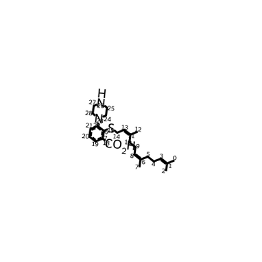 CC(C)=CCCC(C)=CCCC(C)=CCSc1c(C(=O)O)cccc1N1CCNCC1